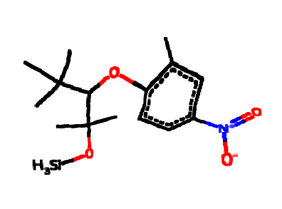 Cc1cc([N+](=O)[O-])ccc1OC(C(C)(C)C)C(C)(C)O[SiH3]